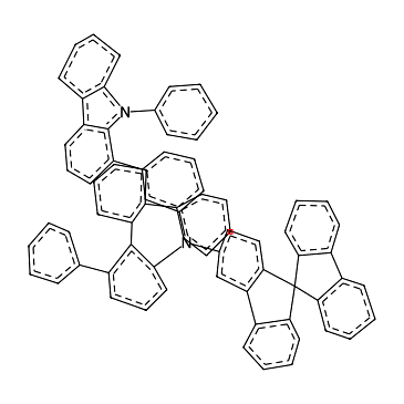 c1ccc(-c2ccccc2-c2c(-c3ccccc3)cccc2N(c2cccc(-c3cccc4c5ccccc5n(-c5ccccc5)c34)c2)c2ccc3c(c2)-c2ccccc2C32c3ccccc3-c3ccccc32)cc1